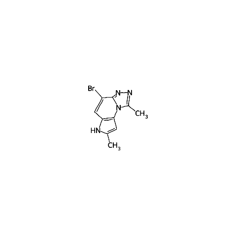 Cc1cc2c(cc(Br)c3nnc(C)n32)[nH]1